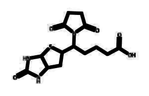 O=C(O)CCCC(C1CC2NC(=O)NC2S1)N1C(=O)CCC1=O